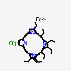 CCC1=C(CC)c2nc1c(CC)c1[nH]c(cc3nc(cc4c(CC)c(CC)c(c2CC)n4CC)C=C3)cc1CC.[Cl-].[Cl-].[Fe+2]